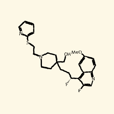 COc1ccc2ncc(F)c([C@H](F)CCC3(CO)CCN(CCSc4ccccn4)CC3)c2c1